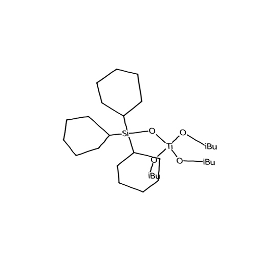 CCC(C)[O][Ti]([O]C(C)CC)([O]C(C)CC)[O][Si](C1CCCCC1)(C1CCCCC1)C1CCCCC1